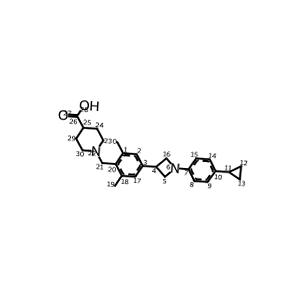 Cc1cc(C2CN(c3ccc(C4CC4)cc3)C2)cc(C)c1CN1CCC(C(=O)O)CC1